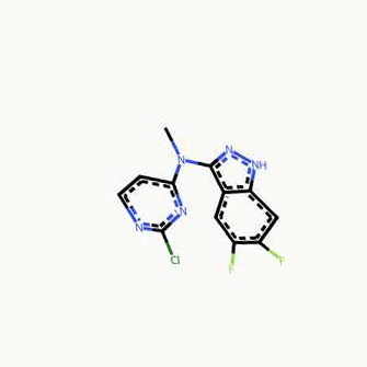 CN(c1ccnc(Cl)n1)c1n[nH]c2cc(F)c(F)cc12